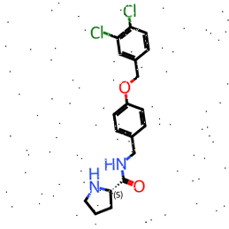 O=C(NCc1ccc(OCc2ccc(Cl)c(Cl)c2)cc1)[C@@H]1CCCN1